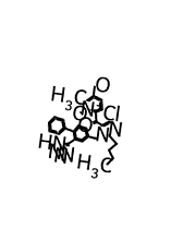 CCCCc1nc(Cl)c(C(=O)c2ccc(C=O)c(C)[n+]2[O-])n1Cc1ccc(-c2ccccc2)c(-c2nnn[nH]2)c1